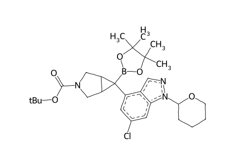 CC(C)(C)OC(=O)N1CC2C(C1)C2(B1OC(C)(C)C(C)(C)O1)c1cc(Cl)cc2c1cnn2C1CCCCO1